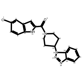 O=C(c1cc2cc(Cl)ccc2[nH]1)N1CCC(n2nnc3ccccc32)CC1